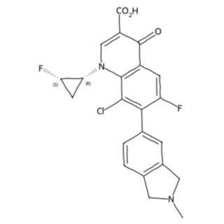 CN1Cc2ccc(-c3c(F)cc4c(=O)c(C(=O)O)cn([C@@H]5C[C@@H]5F)c4c3Cl)cc2C1